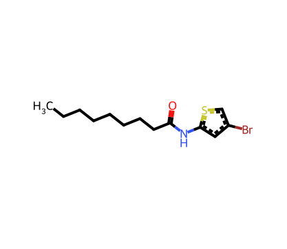 CCCCCCCCC(=O)Nc1cc(Br)cs1